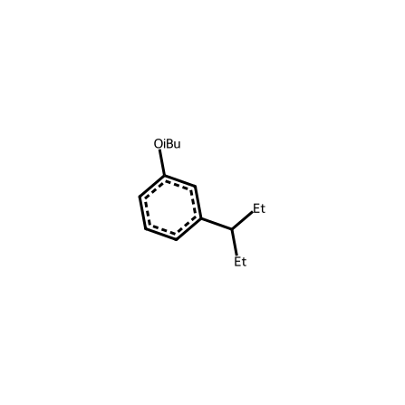 CCC(CC)c1cccc(OCC(C)C)c1